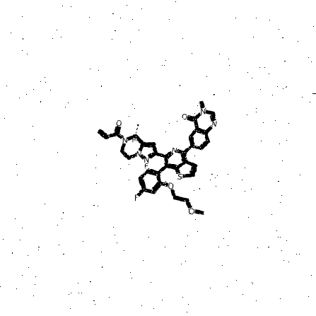 C=CC(=O)N1CCn2nc(-c3nc(-c4ccc5ncn(C)c(=O)c5c4)c4ccsc4c3-c3c(F)cc(F)cc3OCCOC)cc2[C@H]1C